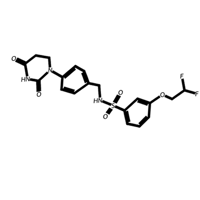 O=C1CCN(c2ccc(CNS(=O)(=O)c3cccc(OCC(F)F)c3)cc2)C(=O)N1